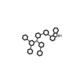 c1ccc(-c2cccc(N(c3cccc(-c4cccc(-c5cccc6[nH]c7ccccc7c56)c4)c3)c3cc(-c4ccccc4)cc(-c4ccccc4)c3)c2)cc1